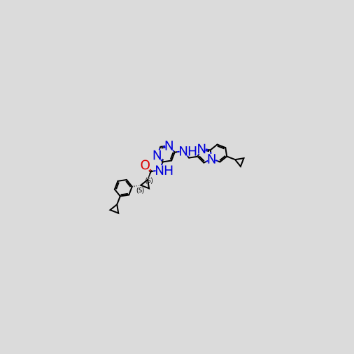 O=C(Nc1cc(NCc2cn3cc(C4CC4)ccc3n2)ncn1)[C@H]1C[C@@H]1c1cccc(C2CC2)c1